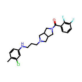 Cc1ccc(NCCCN2CC3CN(C(=O)c4cccc(F)c4F)CC3C2)cc1Cl